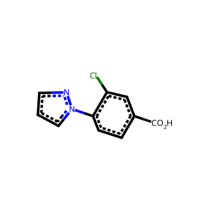 O=C(O)c1ccc(-n2cccn2)c(Cl)c1